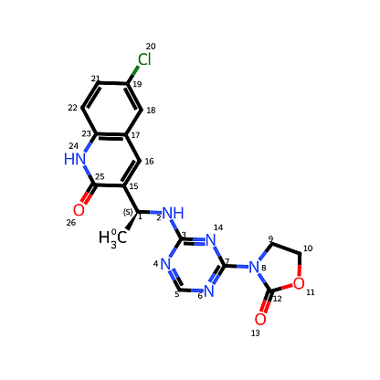 C[C@H](Nc1ncnc(N2CCOC2=O)n1)c1cc2cc(Cl)ccc2[nH]c1=O